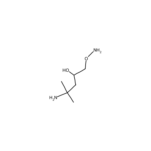 CC(C)(N)CC(O)CON